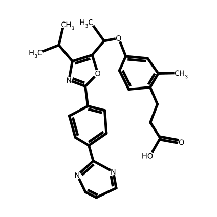 Cc1cc(OC(C)c2oc(-c3ccc(-c4ncccn4)cc3)nc2C(C)C)ccc1CCC(=O)O